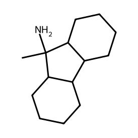 CC1(N)C2CCCCC2C2CCCCC21